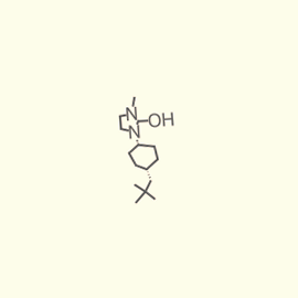 CN1CCN([C@H]2CC[C@@H](CC(C)(C)C)CC2)C1O